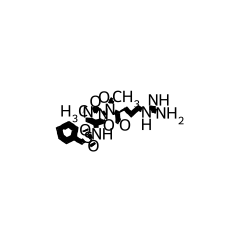 CC(=O)N([C@H](C=O)CCCNC(=N)N)n1c(=O)c(NS(=O)(=O)Cc2ccccc2)cn(C)c1=O